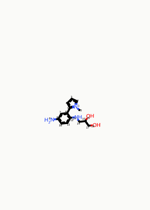 Cn1cccc1-c1cc(N)ccc1NCC(O)CO